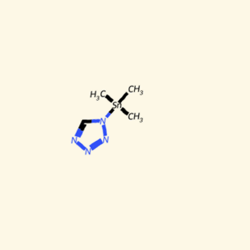 [CH3][Sn]([CH3])([CH3])[n]1cnnn1